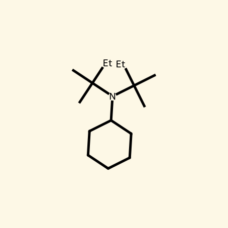 CCC(C)(C)N(C1CCCCC1)C(C)(C)CC